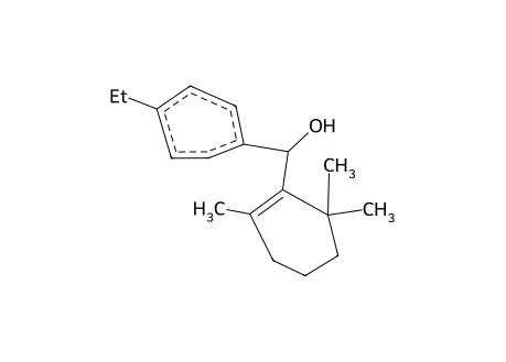 CCc1ccc(C(O)C2=C(C)CCCC2(C)C)cc1